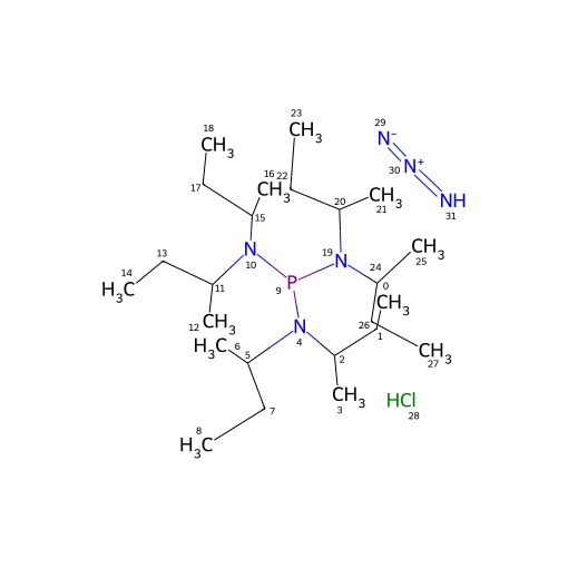 CCC(C)N(C(C)CC)P(N(C(C)CC)C(C)CC)N(C(C)CC)C(C)CC.Cl.[N-]=[N+]=N